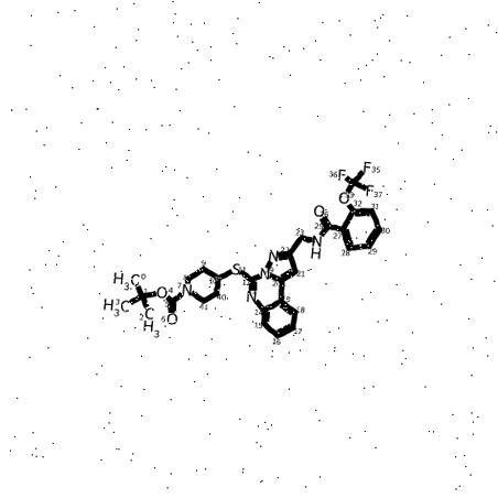 CC(C)(C)OC(=O)N1CCC(Sc2nc3ccccc3c3cc(CNC(=O)c4ccccc4OC(F)(F)F)nn23)CC1